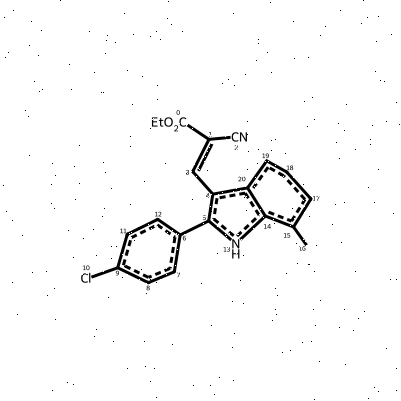 CCOC(=O)C(C#N)=Cc1c(-c2ccc(Cl)cc2)[nH]c2c(C)cccc12